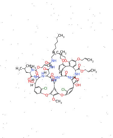 C=CCOC(=O)[C@H]1NC(=O)[C@H]2NC(=O)[C@H](NC(=O)[C@@H]3NC(=O)[C@H](CC(=O)NC(=O)NCCCCCCCC)NC(=O)[C@H](NC(=O)[C@@H](CC(C)C)N(C)C(=O)OCC=C)[C@H](O)c4ccc(c(Cl)c4)Oc4cc3cc(c4OC)Oc3ccc(cc3Cl)[C@H]2O)c2ccc(OCC=C)c(c2)-c2c(OCC=C)cc(OCC=C)cc21